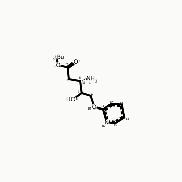 CC(C)(C)OC(=O)C[C@H](N)C(O)COc1ccccn1